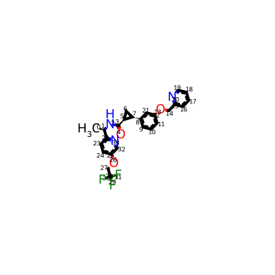 C[C@@H](NC(=O)[C@H]1C[C@@H]1c1cccc(OCc2ccccn2)c1)c1ccc(OCC(F)(F)F)cn1